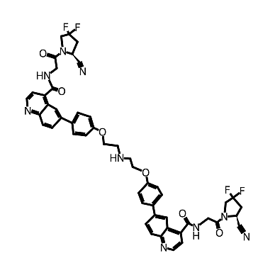 N#C[C@@H]1CC(F)(F)CN1C(=O)CNC(=O)c1ccnc2ccc(-c3ccc(OCCNCCOc4ccc(-c5ccc6nccc(C(=O)NCC(=O)N7CC(F)(F)C[C@H]7C#N)c6c5)cc4)cc3)cc12